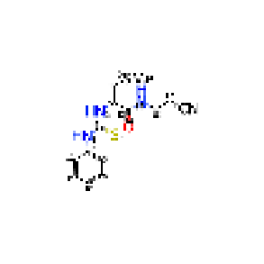 CSCC(NC(=S)Nc1ccccc1)C(=O)NCCC#N